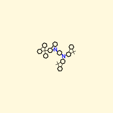 CC1(C)c2ccccc2-c2cc(N(c3ccc(-n4c5ccccc5c5cc(C6(c7ccccc7)c7ccccc7-c7ccccc76)ccc54)cc3)c3ccc4c(c3)C(C)(C)c3ccccc3-4)ccc21